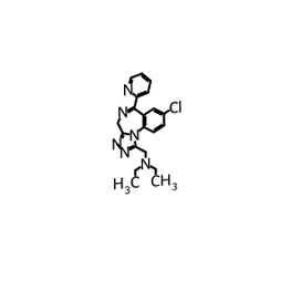 CCN(CC)Cc1nnc2n1-c1ccc(Cl)cc1C(c1ccccn1)=NC2